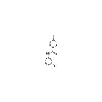 O=C(Nc1cccc(Cl)c1)c1ccc(Cl)cc1